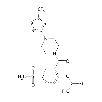 CCC(Oc1ccc(S(C)(=O)=O)cc1C(=O)N1CCN(c2ncc(C(F)(F)F)s2)CC1)C(F)(F)F